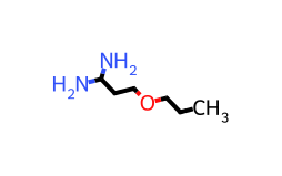 CCCOCCC(N)N